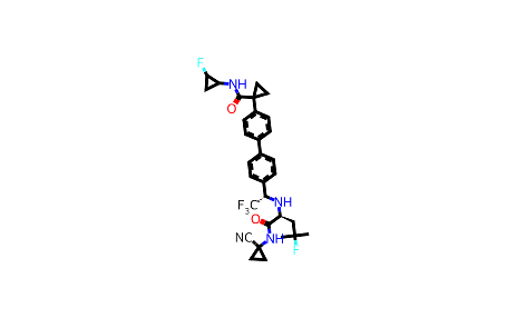 CC(C)(F)C[C@H](N[C@@H](c1ccc(-c2ccc(C3(C(=O)NC4CC4F)CC3)cc2)cc1)C(F)(F)F)C(=O)NC1(C#N)CC1